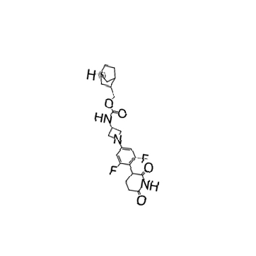 O=C1CCC(c2c(F)cc(N3CC(NC(=O)OCC4C[C@H]5CCC4C5)C3)cc2F)C(=O)N1